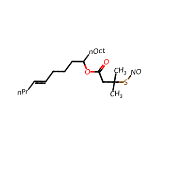 CCC/C=C/CCCC(CCCCCCCC)OC(=O)CC(C)(C)SN=O